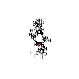 Cc1nc2c(ncn2[C@@H]2S[C@@H]3COP(=O)(S)O[C@H]4[C@@H](O)[C@H](n5cnc6c(N)ncnc65)[C@H]5CC54COP(=O)(O)O[C@@H]2[C@@H]3O)c(=O)[nH]1